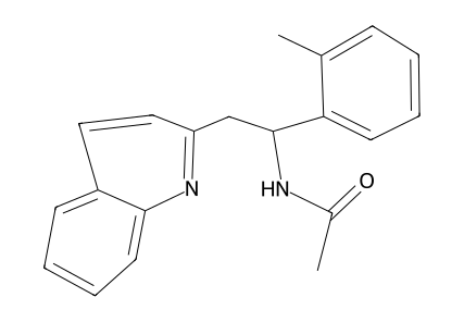 CC(=O)NC(Cc1ccc2ccccc2n1)c1ccccc1C